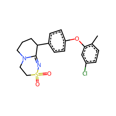 Cc1ccc(Cl)cc1Oc1ccc(C2CCCN3CCS(=O)(=O)N=C23)cc1